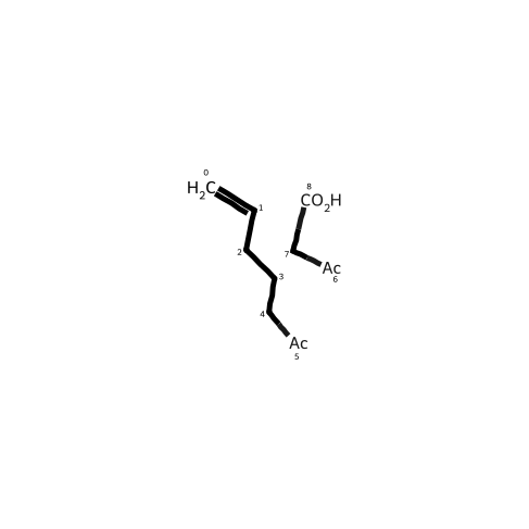 C=CCCCC(C)=O.CC(=O)CC(=O)O